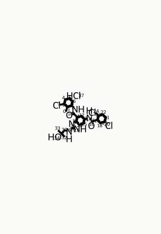 Cc1c(Cl)cccc1NC(=O)c1cc(NC(=O)c2cc(Cl)ccc2Cl)cc2[nH]c(NCC(C)(C)O)nc12.Cl